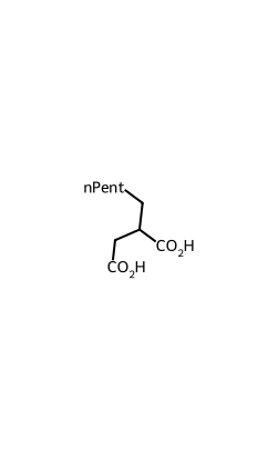 CCCCCCC(CC(=O)O)C(=O)O